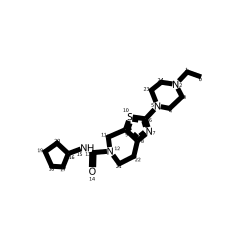 CCN1CCN(c2nc3c(s2)CN(C(=O)NC2CCCC2)CC3)CC1